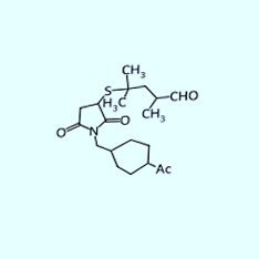 CC(=O)C1CCC(CN2C(=O)CC(SC(C)(C)CC(C)C=O)C2=O)CC1